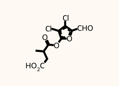 CC(CC(=O)O)C(=O)Oc1oc(C=O)c(Cl)c1Cl